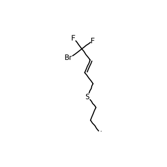 [CH2]CCSCC=CC(F)(F)Br